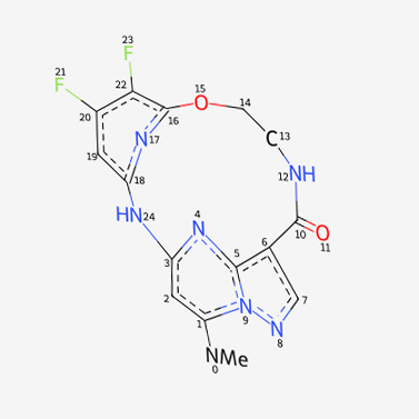 CNc1cc2nc3c(cnn13)C(=O)NCCOc1nc(cc(F)c1F)N2